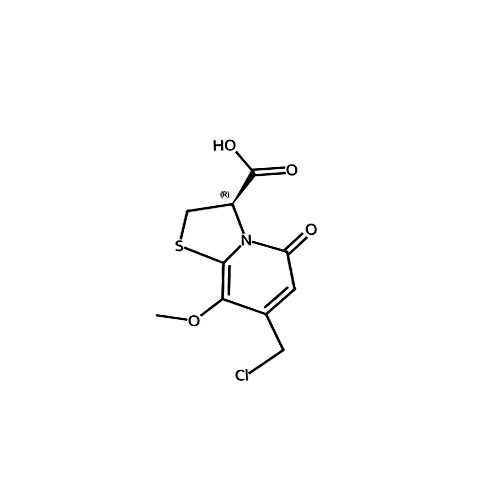 COc1c(CCl)cc(=O)n2c1SC[C@H]2C(=O)O